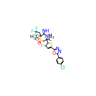 C[C@]1(CC(F)(F)F)C(=N)N[C@](C)(C2SC(c3nnc(-c4ccc(Cl)cc4)o3)=CC2F)CS1(=O)=O